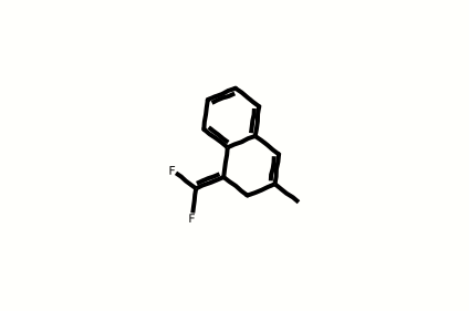 CC1=Cc2ccccc2C(=C(F)F)C1